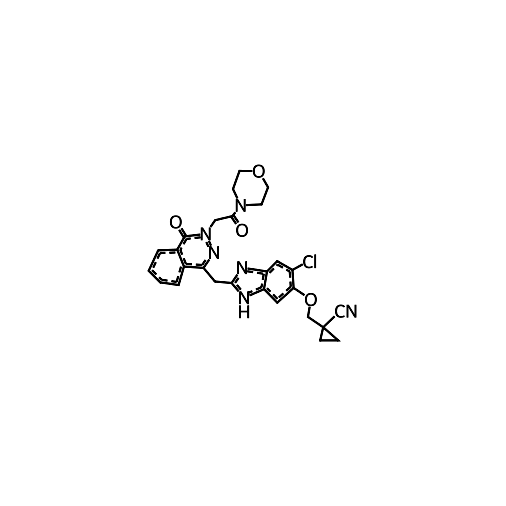 N#CC1(COc2cc3[nH]c(Cc4nn(CC(=O)N5CCOCC5)c(=O)c5ccccc45)nc3cc2Cl)CC1